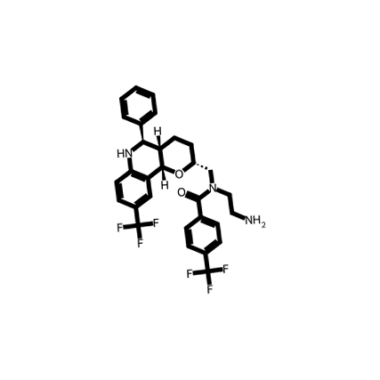 NCCN(C[C@H]1CC[C@@H]2[C@H](O1)c1cc(C(F)(F)F)ccc1N[C@H]2c1ccccc1)C(=O)c1ccc(C(F)(F)F)cc1